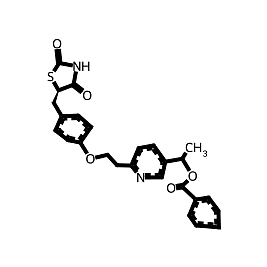 CC(OC(=O)c1ccccc1)c1ccc(CCOc2ccc(C[C@H]3SC(=O)NC3=O)cc2)nc1